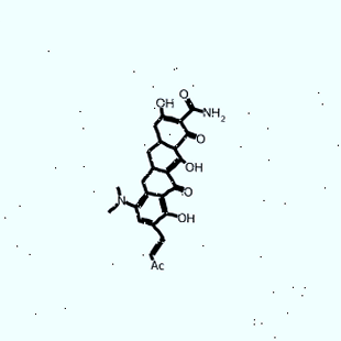 CC(=O)/C=C/c1cc(N(C)C)c2c(c1O)C(=O)C1=C(O)C3C(=O)C(C(N)=O)=C(O)CC3CC1C2